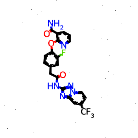 NC(=O)c1cccnc1Oc1ccc(CC(=O)Nc2nc3cc(C(F)(F)F)ccn3n2)cc1F